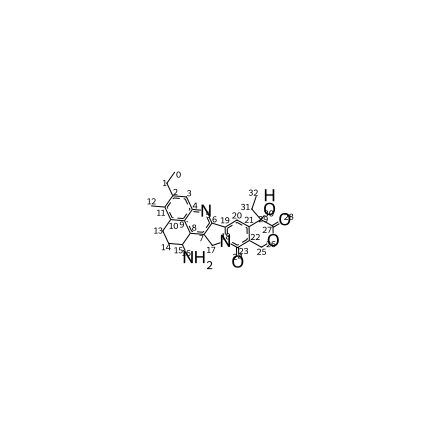 CCc1cc2nc3c(c4c2c(c1C)CCC4N)Cn1c-3cc2c(c1=O)COC(=O)C2(O)CC